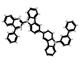 C1=C2c3ccccc3N(c3cccc(-c4ccccc4)c3)C2CCC1c1ccc2c(c1)c1ccccc1n2-c1nc(-c2ccccc2)c2ccccc2n1